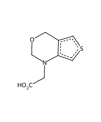 O=C(O)CN1COCc2cscc21